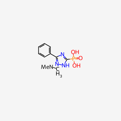 CNC.O=P(O)(O)c1nc(-c2ccccc2)n[nH]1